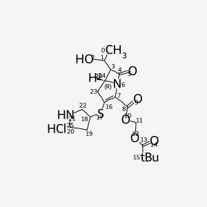 CC(O)C1C(=O)N2C(C(=O)OCOC(=O)C(C)(C)C)=C(SC3CCNC3)C[C@H]12.Cl